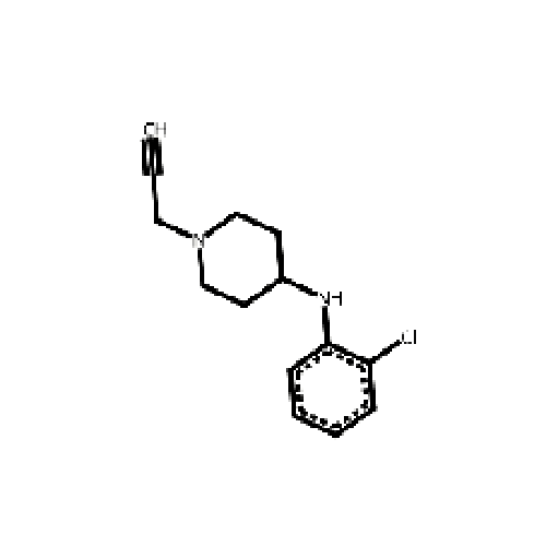 C#CCN1CCC(Nc2ccccc2Cl)CC1